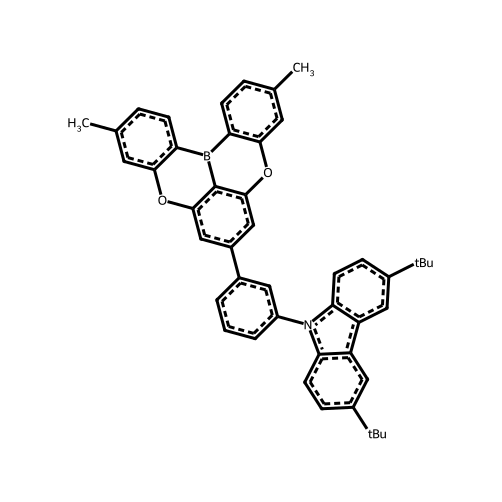 Cc1ccc2c(c1)Oc1cc(-c3cccc(-n4c5ccc(C(C)(C)C)cc5c5cc(C(C)(C)C)ccc54)c3)cc3c1B2c1ccc(C)cc1O3